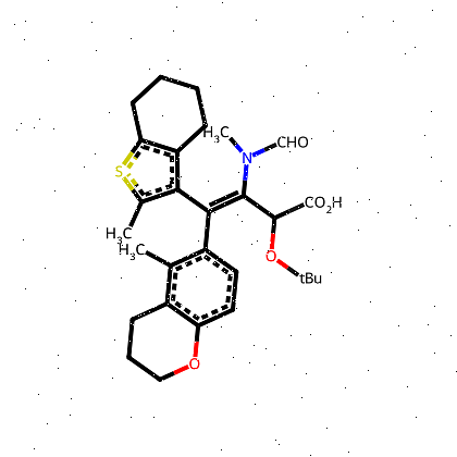 Cc1sc2c(c1/C(=C(/C(OC(C)(C)C)C(=O)O)N(C)C=O)c1ccc3c(c1C)CCCO3)CCCC2